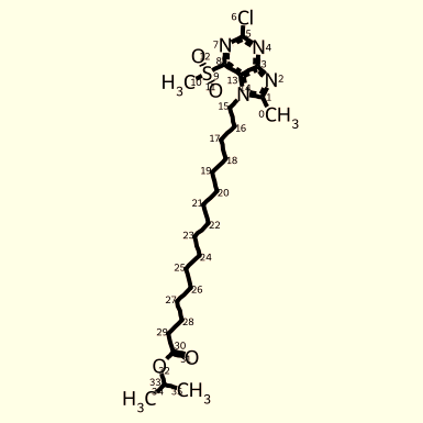 Cc1nc2nc(Cl)nc(S(C)(=O)=O)c2n1CCCCCCCCCCCCCCCC(=O)OC(C)C